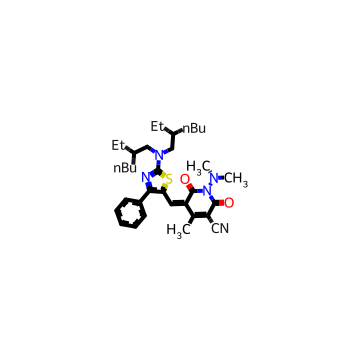 CCCCC(CC)CN(CC(CC)CCCC)c1nc(-c2ccccc2)c(/C=C2\C(=O)N(N(C)C)C(=O)C(C#N)=C2C)s1